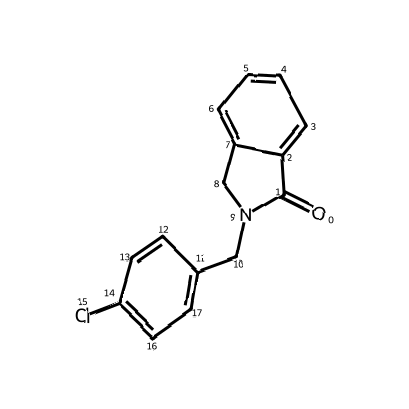 O=C1c2ccccc2CN1Cc1ccc(Cl)cc1